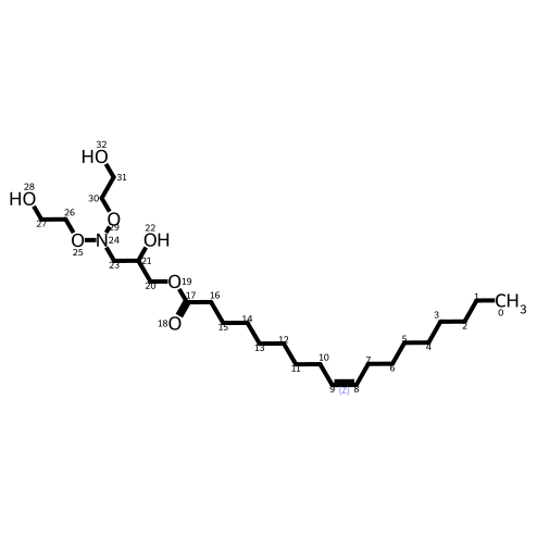 CCCCCCCC/C=C\CCCCCCCC(=O)OCC(O)CN(OCCO)OCCO